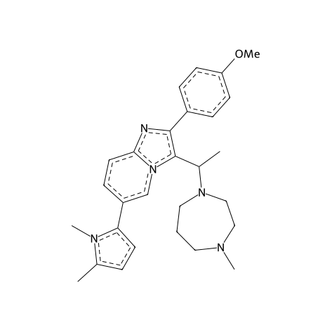 COc1ccc(-c2nc3ccc(-c4ccc(C)n4C)cn3c2C(C)N2CCCN(C)CC2)cc1